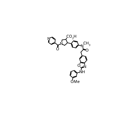 COc1cccc(Nc2nc3ccc(CC(=O)N(C)c4ccc(C5CN(C(=O)c6ccncc6)CC5C(=O)O)cc4)cc3o2)c1